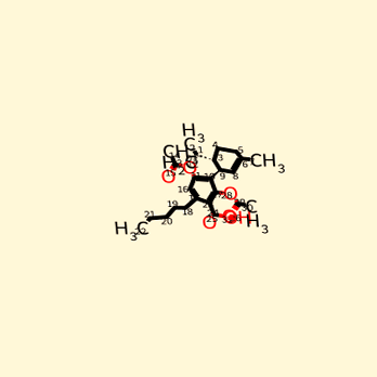 C=C(C)[C@@H]1CCC(C)=C[C@H]1c1c(OC(C)=O)cc(CCCCC)c(C(=O)O)c1OC(C)=O